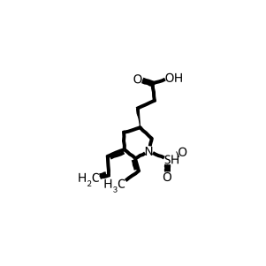 C=C/C=C1/C[C@@H](CCC(=O)O)CN([SH](=O)=O)/C1=C/C